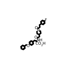 O=C(CC1CCN(C(=O)CCc2ccc(F)cc2)CC1)N[C@@H](Cc1ccc(OCc2ccccc2)cc1)C(=O)O